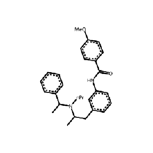 CCCN(C(C)Cc1cccc(NC(=O)c2ccc(OC)cc2)c1)C(C)c1ccccc1